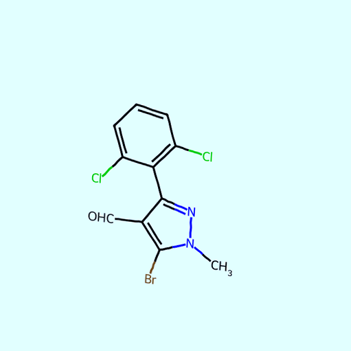 Cn1nc(-c2c(Cl)cccc2Cl)c(C=O)c1Br